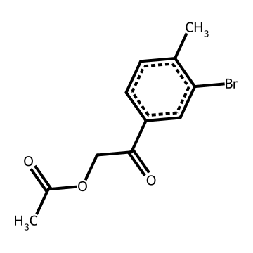 CC(=O)OCC(=O)c1ccc(C)c(Br)c1